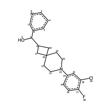 OC(c1cccnc1)C1CC2(CCN(c3ccc(F)c(Cl)c3)CC2)C1